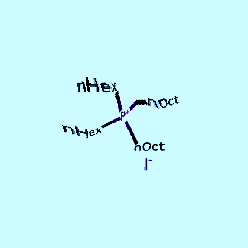 CCCCCCCC[P+](CCCCCC)(CCCCCC)CCCCCCCC.[I-]